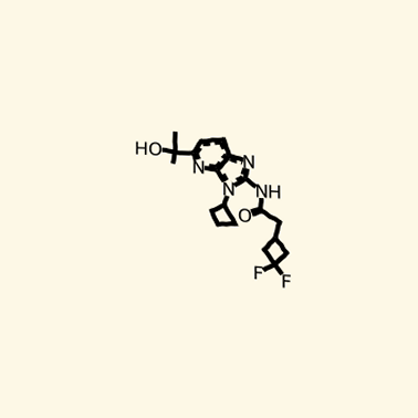 CC(C)(O)c1ccc2nc(NC(=O)CC3CC(F)(F)C3)n(C3CCC3)c2n1